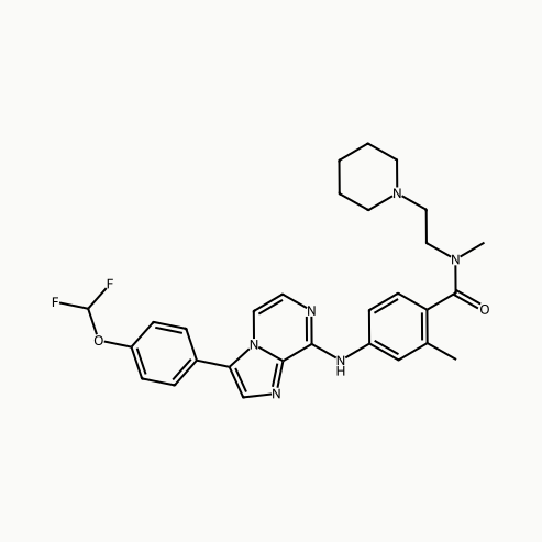 Cc1cc(Nc2nccn3c(-c4ccc(OC(F)F)cc4)cnc23)ccc1C(=O)N(C)CCN1CCCCC1